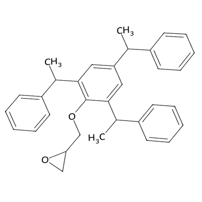 CC(c1ccccc1)c1cc(C(C)c2ccccc2)c(OCC2CO2)c(C(C)c2ccccc2)c1